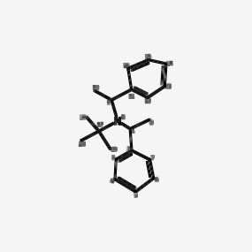 CC(c1ccccc1)N(C(C)c1ccccc1)C(C)(C)C